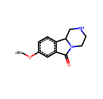 CCCCOc1ccc2c(c1)C(=O)N1CCNCC21